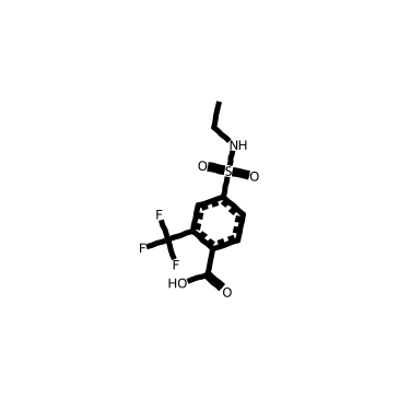 CCNS(=O)(=O)c1ccc(C(=O)O)c(C(F)(F)F)c1